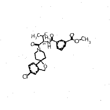 COC(=O)c1cccc(C(=O)N[C@@H](C(=O)N2CCC3(CC2)OCc2cc(Cl)ccc23)C(C)C)c1